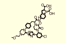 COCCN1CCN(c2ccc(CC(C(=O)Nc3ccc4c(c3)cc(C(=O)O)n4C(=O)O)N3CCN(c4cc(Cl)ccc4-n4cnnn4)C(=O)C3=O)cc2)C(=O)C1